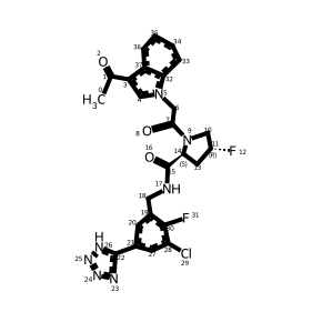 CC(=O)c1cn(CC(=O)N2C[C@H](F)C[C@H]2C(=O)NCc2cc(-c3nnn[nH]3)cc(Cl)c2F)c2ccccc12